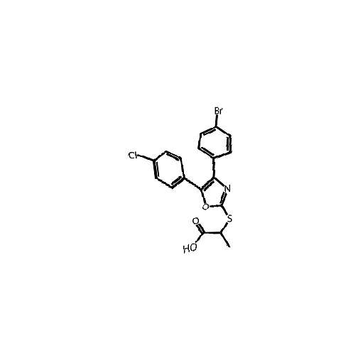 CC(Sc1nc(-c2ccc(Br)cc2)c(-c2ccc(Cl)cc2)o1)C(=O)O